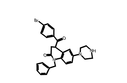 O=C(c1ccc(Br)cc1)C1CC(=O)N(Cc2ccccc2)c2ccc(N3CCNCC3)cc21